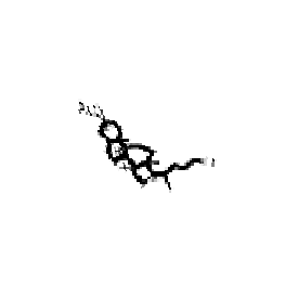 CC(=O)O[C@H]1CC[C@@]2(C)C(=CC=C3[C@@H]4CC[C@H]([C@H](C)CCCC(C)C)[C@@]4(C)CC[C@@H]32)C1